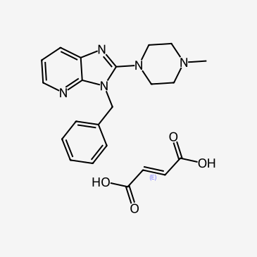 CN1CCN(c2nc3cccnc3n2Cc2ccccc2)CC1.O=C(O)/C=C/C(=O)O